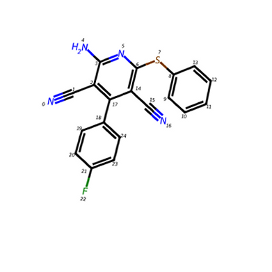 N#Cc1c(N)nc(Sc2ccccc2)c(C#N)c1-c1ccc(F)cc1